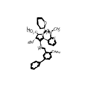 COc1ccc(-c2ccccc2)cc1CN[C@H]1[C@H](C(C)(C)C)[C@@H](C(=O)O)N(C(=O)[C@@H]2CCCCO2)[C@H]1c1cccnc1N(C)C